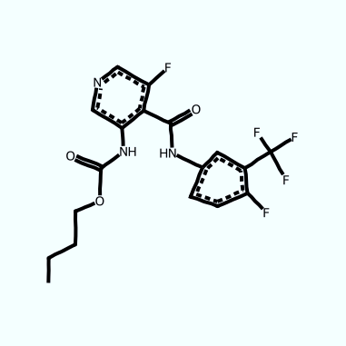 CCCCOC(=O)Nc1cncc(F)c1C(=O)Nc1ccc(F)c(C(F)(F)F)c1